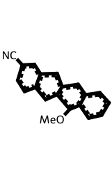 COc1c2ccccc2cc2cc3cc(C#N)ccc3cc12